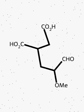 COC(C=O)CC(CC(=O)O)C(=O)O